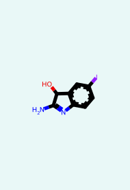 NC1=Nc2ccc(I)cc2C1O